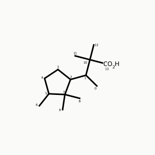 CC(C1CCC(C)C1(C)C)C(C)(C)C(=O)O